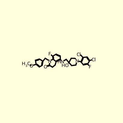 COc1ccc(CN2C(=O)CCc3c(NCC4(O)CCN(c5cc(F)c(Cl)cc5Cl)CC4)ccc(F)c32)cc1